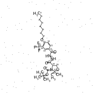 CCCCCCCCOc1ccc(C(=O)NNC(=O)C2COC(C)(C)N2C(=O)OC(C)(C)C)cc1C(F)(F)F